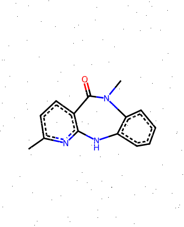 Cc1ccc2c(n1)Nc1ccccc1N(C)C2=O